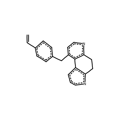 C=Cc1ccc(Cc2ccnc3c2-c2cccnc2CC3)cc1